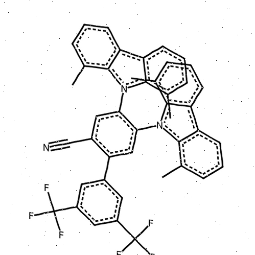 Cc1cccc2c3cccc(C)c3n(-c3cc(C#N)c(-c4cc(C(F)(F)F)cc(C(F)(F)F)c4)cc3-n3c4c(C)cccc4c4cccc(C)c43)c12